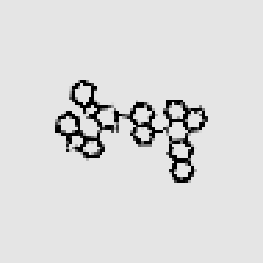 c1ccc2cc3c(cc2c1)-c1cccc2cccc(c12)N3c1cccc2c(-c3nc(-c4cccc5oc6ccccc6c45)c4sc5ccccc5c4n3)cccc12